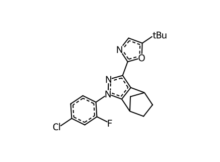 CC(C)(C)c1cnc(-c2nn(-c3ccc(Cl)cc3F)c3c2C2CCC3C2)o1